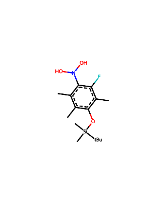 Cc1c(C)c(N(O)O)c(F)c(C)c1O[Si](C)(C)C(C)(C)C